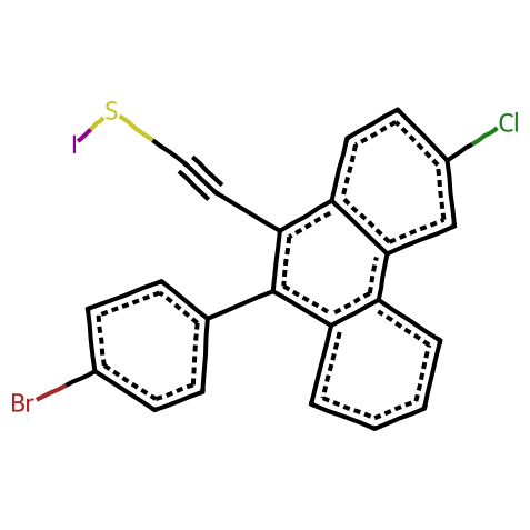 Clc1ccc2c(C#CSI)c(-c3ccc(Br)cc3)c3ccccc3c2c1